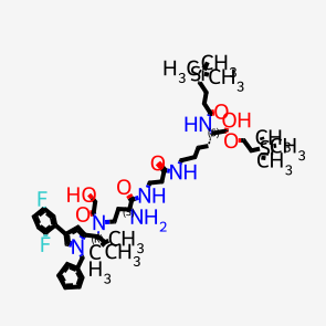 CC(C)(C)[C@H](c1cc(-c2cc(F)ccc2F)cn1Cc1ccccc1)N(CC[C@H](N)C(=O)NCCC(=O)NCCCC[C@H](NC(=O)CCC[Si](C)(C)C)C(O)OCC[Si](C)(C)C)C(=O)CO